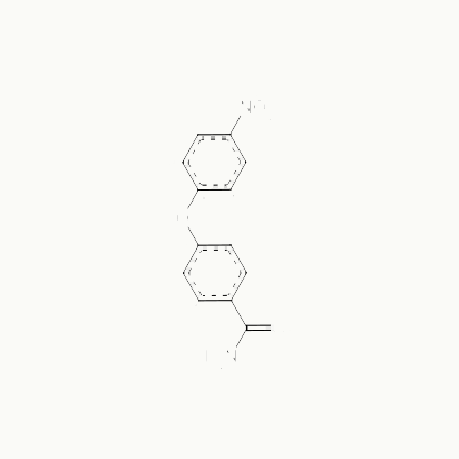 NC(=O)c1ccc(Oc2ccc([N+](=O)[O-])cc2)cc1